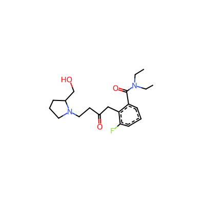 CCN(CC)C(=O)c1cccc(F)c1CC(=O)CCN1CCCC1CO